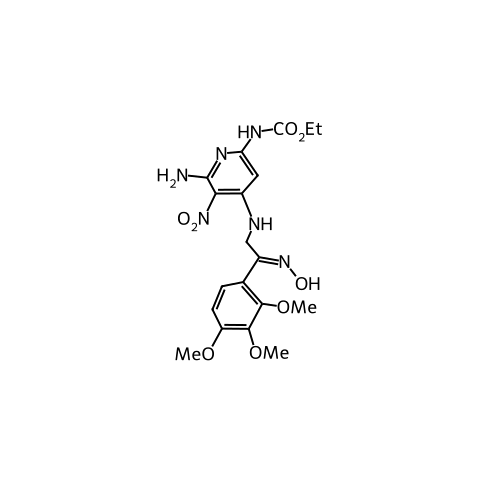 CCOC(=O)Nc1cc(NCC(=NO)c2ccc(OC)c(OC)c2OC)c([N+](=O)[O-])c(N)n1